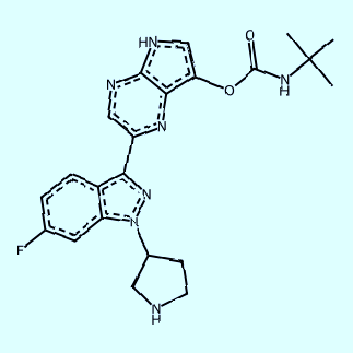 CC(C)(C)NC(=O)Oc1c[nH]c2ncc(-c3nn(C4CCNC4)c4cc(F)ccc34)nc12